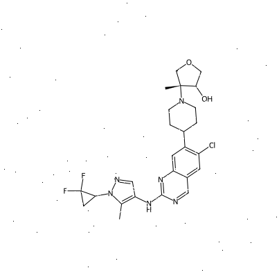 Cc1c(Nc2ncc3cc(Cl)c(C4CCN([C@]5(C)COCC5O)CC4)cc3n2)cnn1C1CC1(F)F